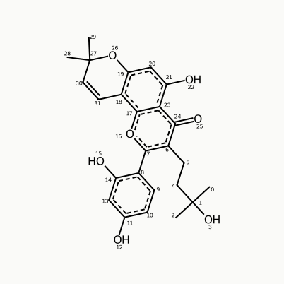 CC(C)(O)CCc1c(-c2ccc(O)cc2O)oc2c3c(cc(O)c2c1=O)OC(C)(C)C=C3